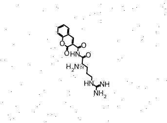 N=C(N)NCCC[C@H](N)C(=O)NC(=O)c1cc2ccccc2oc1=O